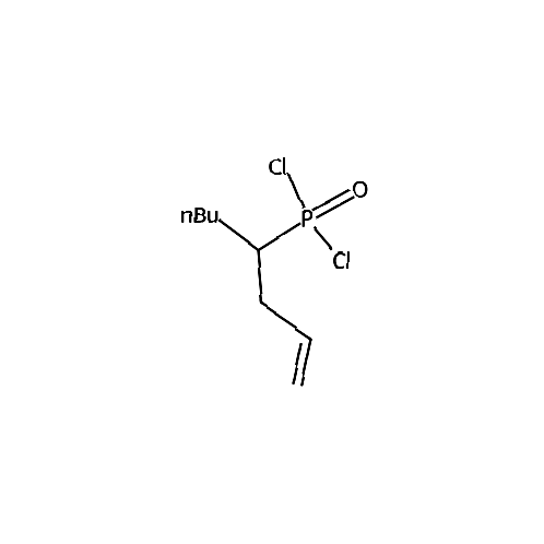 C=CCC(CCCC)P(=O)(Cl)Cl